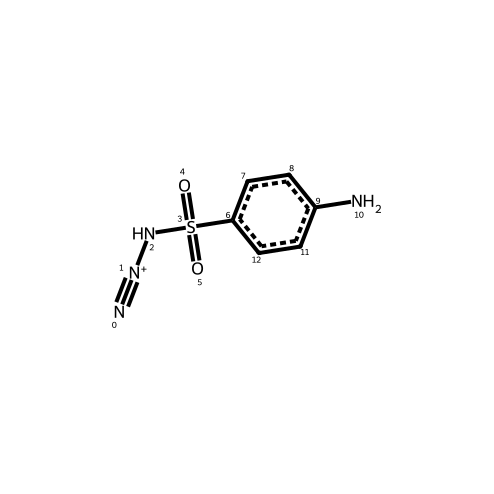 N#[N+]NS(=O)(=O)c1ccc(N)cc1